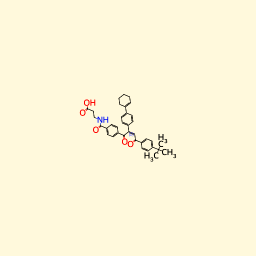 CC(C)(C)c1ccc(C(=O)/C=C(\C(=O)c2ccc(C(=O)NCCC(=O)O)cc2)c2ccc(C3=CCCCC3)cc2)cc1